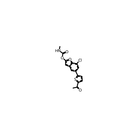 CNC(=O)Oc1cc2cc(-c3ccc(C(C)=O)s3)cc(Cl)c2o1